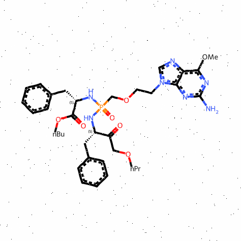 CCCCOC(=O)[C@H](Cc1ccccc1)NP(=O)(COCCn1cnc2c(OC)nc(N)nc21)N[C@@H](Cc1ccccc1)C(=O)COCCC